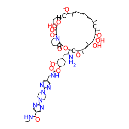 CCNC(=O)c1cnc(N2CCN(c3ncc(CNC(=O)O[C@@H]4CC[C@@H](C[C@@H](N)[C@@H]5CC(=O)[C@H](C)/C=C(\C)[C@@H](O)[C@@H](O)C(=O)[C@H](C)C[C@H](C)/C=C/C=C/C=C(\C)[C@@H](OC)C[C@@H]6CC[C@@H](C)[C@@](O)(O6)C(=O)C(=O)N6CCCC[C@H]6C(=O)O5)C[C@H]4OC)cn3)CC2)nc1